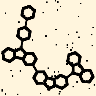 c1ccc(-c2ccc(-n3c4ccccc4c4cc(-c5ccc6oc7ccc(-n8c9ccccc9c9ccccc98)cc7c6c5)ccc43)cc2)cc1